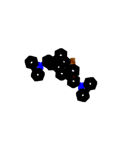 c1ccc2c(c1)-c1ccc(-c3ccc(-n4c5ccccc5c5ccccc54)cc3)cc1C21c2c(-c3ccc(-n4c5ccccc5c5ccccc54)cc3)cccc2-c2sc3ccccc3c21